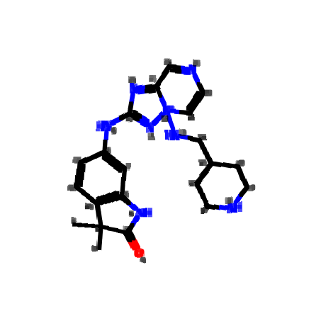 CC1(C)C(=O)Nc2cc(NC3=N[N+]4(NCC5CCNCC5)C=CN=CC4=N3)ccc21